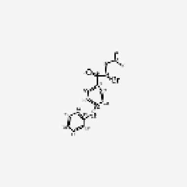 CC(C)CC(Br)C(=O)c1ccc(Sc2ccccc2)cc1